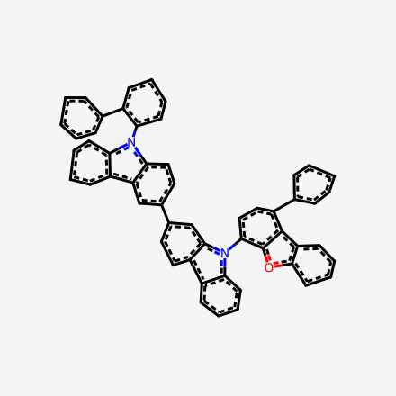 c1ccc(-c2ccccc2-n2c3ccccc3c3cc(-c4ccc5c6ccccc6n(-c6ccc(-c7ccccc7)c7c6oc6ccccc67)c5c4)ccc32)cc1